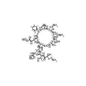 CC(C)C[C@@H]1NC(=O)[C@@H](Cc2ccccc2)NC(=O)[C@H](CCNC(=O)OC(C)(C)C)NC(=O)[C@@H](NC(=O)[C@H](CCNC(=O)OC(C)(C)C)NC(=O)[C@@H](NC(=O)[C@@H](O)CCN)C(C)O)CCNC(=O)[C@H](C(C)O)NC(=O)[C@H](CCN)NC(=O)[C@H](CCN)NC1=O